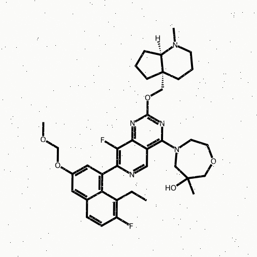 CCc1c(F)ccc2cc(OCOC)cc(-c3ncc4c(N5CCOCC(C)(O)C5)nc(OC[C@]56CCC[C@H]5N(C)CCC6)nc4c3F)c12